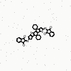 O=c1c(=NC2=Cc3sc4c(c3C2)C2(CCCCC2)C2=C4C3(CCCCC3)c3cc(N=c4c(=O)c5ccccc5c4=O)sc32)c(=O)c2ccccc12